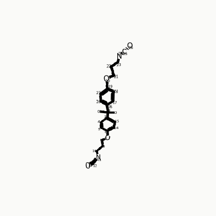 CC(C)(c1ccc(OCCCN=C=O)cc1)c1ccc(OCCCN=C=O)cc1